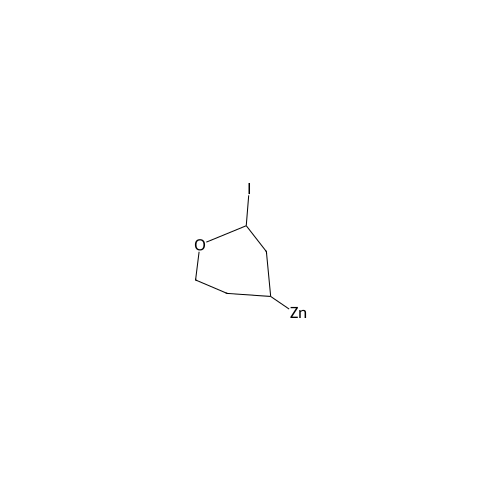 [Zn][CH]1CCOC(I)C1